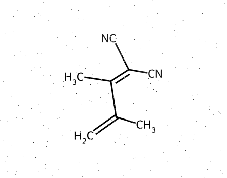 C=C(C)C(C)=C(C#N)C#N